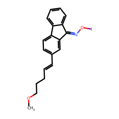 COCCC/C=C/c1ccc2c(c1)/C(=N/OI)c1ccccc1-2